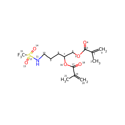 C=C(C)C(=O)OCC(CCCNS(=O)(=O)C(F)(F)F)OC(=O)C(=C)C